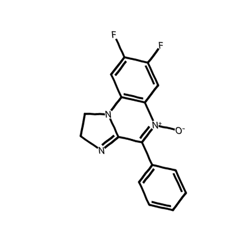 [O-][N+]1=C(c2ccccc2)C2=NCCN2c2cc(F)c(F)cc21